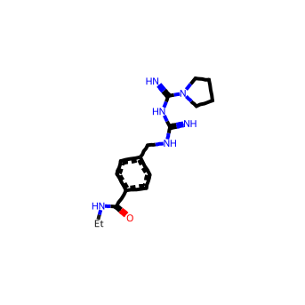 CCNC(=O)c1ccc(CNC(=N)NC(=N)N2CCCC2)cc1